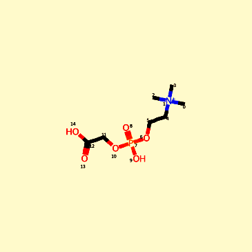 C[N+](C)(C)CCOP(=O)(O)OCC(=O)O